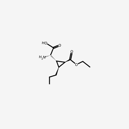 CCC[C@@H]1[C@H](C(=O)OCC)[C@H]1[C@H](N)C(=O)O